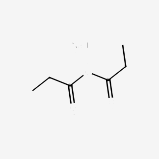 CCC(=O)OC(=O)CC.[NaH]